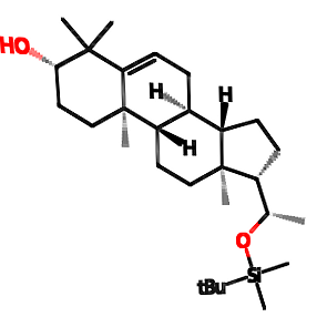 C[C@H](O[Si](C)(C)C(C)(C)C)[C@H]1CC[C@H]2[C@@H]3CC=C4C(C)(C)[C@@H](O)CC[C@]4(C)[C@H]3CC[C@]12C